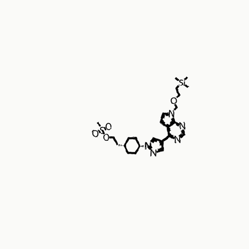 C[Si](C)(C)CCOCn1ccc2c(-c3cnn([C@H]4CC[C@@H](CCOS(C)(=O)=O)CC4)c3)ncnc21